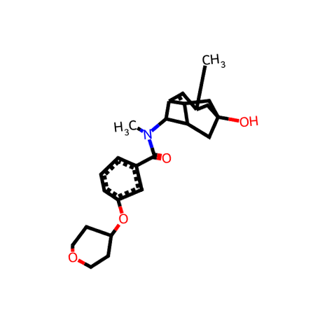 CC1C=C2C3CC(O)(C1)CC3C2N(C)C(=O)c1cccc(OC2CCOCC2)c1